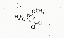 COc1cc(C(Cl)Cl)cc(OC)n1